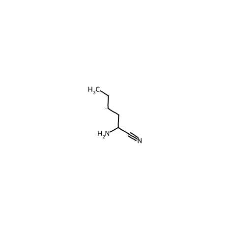 CC[CH]CC(N)C#N